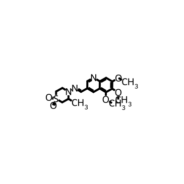 COc1cc2ncc(C=NN3CCS(=O)(=O)CC3C)cc2c(OC)c1OC